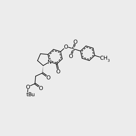 Cc1ccc(S(=O)(=O)Oc2cc3n(c(=O)c2)[C@H](C(=O)CC(=O)OC(C)(C)C)CC3)cc1